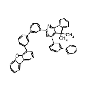 CC1(C)c2ccccc2-c2nc(-c3cccc(-c4cccc(-c5cccc6c5oc5ccccc56)c4)c3)nc(-c3cccc(-c4ccccc4)c3)c21